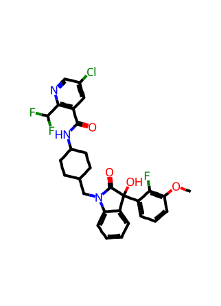 COc1cccc(C2(O)C(=O)N(CC3CCC(NC(=O)c4cc(Cl)cnc4C(F)F)CC3)c3ccccc32)c1F